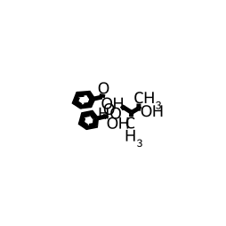 CC(O)C(C)CO.O=C(O)c1ccccc1.O=C(O)c1ccccc1